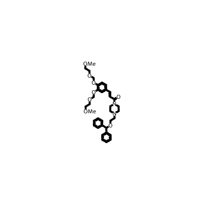 COCCOCOc1ccc(C=CC(=O)N2CCN(CCOC(c3ccccc3)c3ccccc3)CC2)cc1OCOCCOC